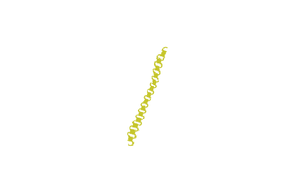 S=S=S=S=S=S=S=S=S=S=S=S=S=S=S=S=S=S=S=S=S=S=S=S=S=S=S=S